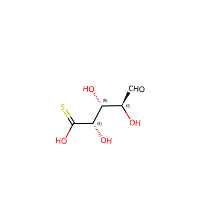 O=C[C@@H](O)[C@@H](O)[C@H](O)C(O)=S